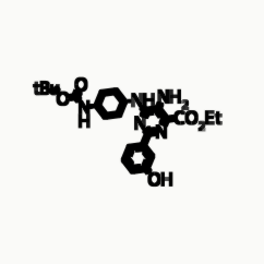 CCOC(=O)c1nc(-c2cccc(O)c2)nc(N[C@H]2CC[C@H](NC(=O)OC(C)(C)C)CC2)c1N